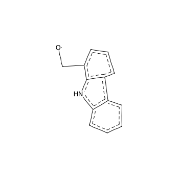 [O]Cc1cccc2c1[nH]c1ccccc12